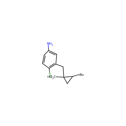 CCCCC1CC1(Cc1cc(N)ccc1Cl)C(=O)O